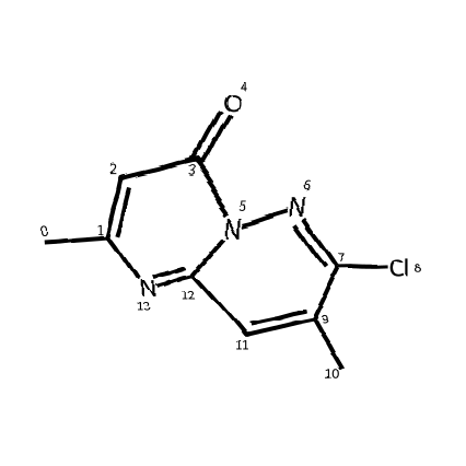 Cc1cc(=O)n2nc(Cl)c(C)cc2n1